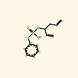 C=CCC(C=C)OP(=O)(O)Sc1ccccc1